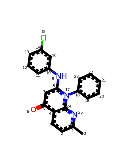 Cc1ccc2c(=O)cc(Nc3cccc(Cl)c3)n(-c3ccccc3)c2n1